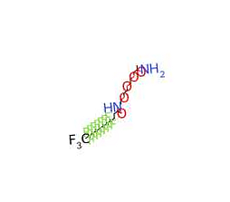 CC(COCCOCCOCCNC(=O)CCC(F)(F)C(F)(F)C(F)(F)C(F)(F)C(F)(F)C(F)(F)C(F)(F)C(F)(F)F)ON